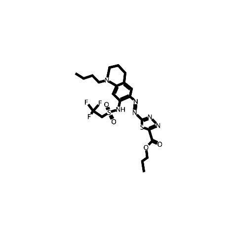 CCCCN1CCCc2cc(N=Nc3nnc(C(=O)OCCC)s3)c(NS(=O)(=O)CC(F)(F)F)cc21